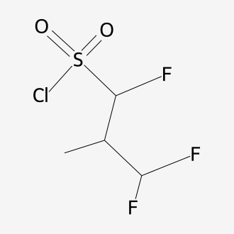 CC(C(F)F)C(F)S(=O)(=O)Cl